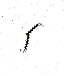 CCCCCCCCCCc1csc(CCCCCCCCCC)c1